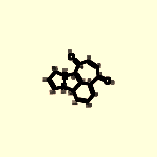 O=C1C=CC(=O)C2=C3C1=CC=CC3N1C=CCN21